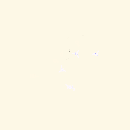 CCC[C@H]1N(C(=O)c2cnccc2C(F)(F)F)CCC[C@@]1(Oc1csc(C(F)(F)F)c1)C(=O)N1CCC(N)(c2ccccc2CCCO)CC1